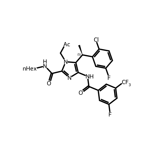 CCCCCCNC(=O)c1nc(NC(=O)c2cc(F)cc(C(F)(F)F)c2)c([C@@H](C)c2cc(F)ccc2Cl)n1CC(C)=O